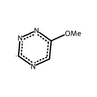 COc1cn[c]nn1